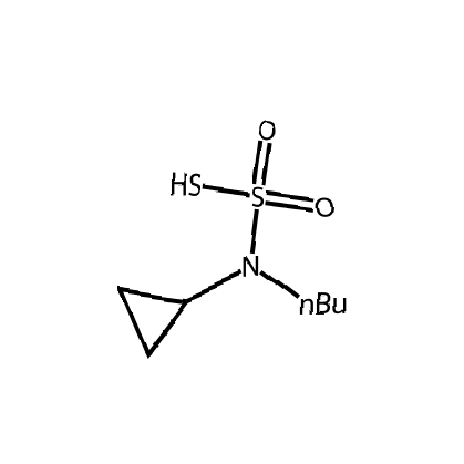 CCCCN(C1CC1)S(=O)(=O)S